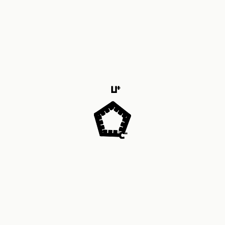 [Li+].c1cc[cH-]c1